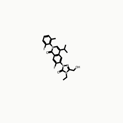 CCn1c(CO)nn(-c2cc3c(C(C)C)cn(-c4c(C)cccc4F)c(=O)c3cc2F)c1=O